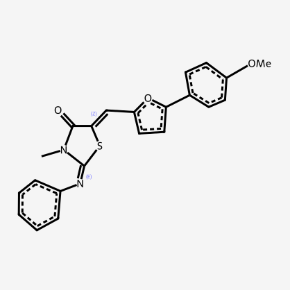 COc1ccc(-c2ccc(/C=C3\S/C(=N/c4ccccc4)N(C)C3=O)o2)cc1